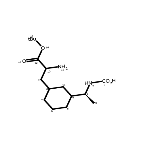 C[C@H](NC(=O)O)C1CCCC(CC(N)C(=O)OC(C)(C)C)C1